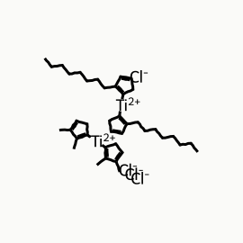 CC1=CC[C]([Ti+2][C]2=C(C)C(C)=CC2)=C1C.CCCCCCCCC1=[C]([Ti+2][C]2=C(CCCCCCCC)C=CC2)CC=C1.[Cl-].[Cl-].[Cl-].[Cl-]